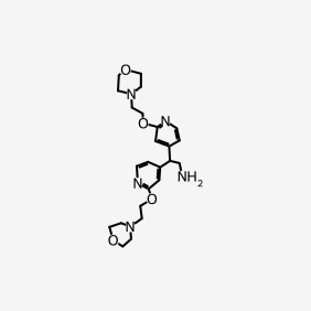 NCC(c1ccnc(OCCN2CCOCC2)c1)c1ccnc(OCCN2CCOCC2)c1